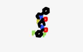 O=C(c1cc(F)ccc1F)N1CCC2(CC1)SC1CCC(c3ccccc3)N1C2=O